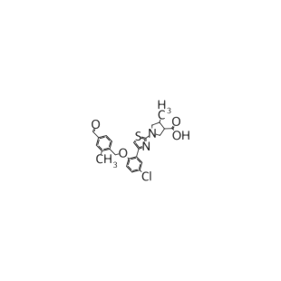 Cc1cc(C=O)ccc1COc1ccc(Cl)cc1-c1csc(N2CC(C)C(C(=O)O)C2)n1